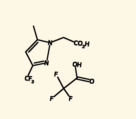 Cc1cc(C(F)(F)F)nn1CC(=O)O.O=C(O)C(F)(F)F